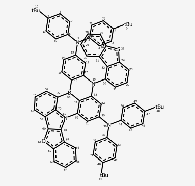 CC(C)(C)c1ccc(N(c2ccc(C(C)(C)C)cc2)c2ccc3c(c2)N(c2cccc4sc5ccccc5c24)c2cc(N(c4ccc(C(C)(C)C)cc4)c4ccc(C(C)(C)C)cc4)cc4c2B3c2cccc3c5oc6ccccc6c5n-4c23)cc1